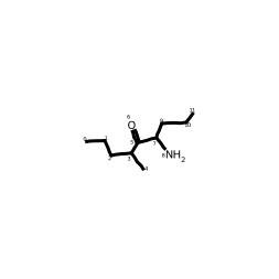 CCCC(C)C(=O)C(N)CCC